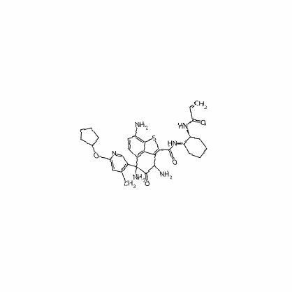 C=CC(=O)N[C@H]1CCCC[C@H]1NC(=O)c1sc2c(N)ccc3c2c1C(N)C(=O)C3(N)c1cnc(OC2CCCC2)cc1C